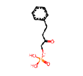 O=C(CCc1ccccc1)COP(=O)(O)O